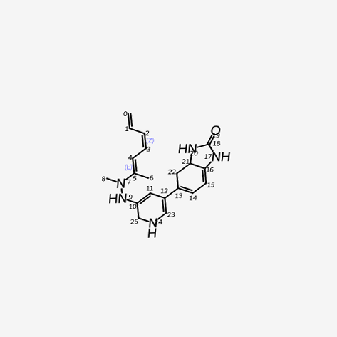 C=C/C=C\C=C(/C)N(C)NC1=CC(C2=CC=C3NC(=O)NC3C2)=CNC1